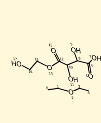 CCOCC.O=C(O)C(O)C(O)C(=O)OCCO